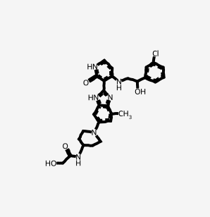 Cc1cc(N2CCC(NC(=O)CO)CC2)cc2[nH]c(-c3c(NCC(O)c4cccc(Cl)c4)cc[nH]c3=O)nc12